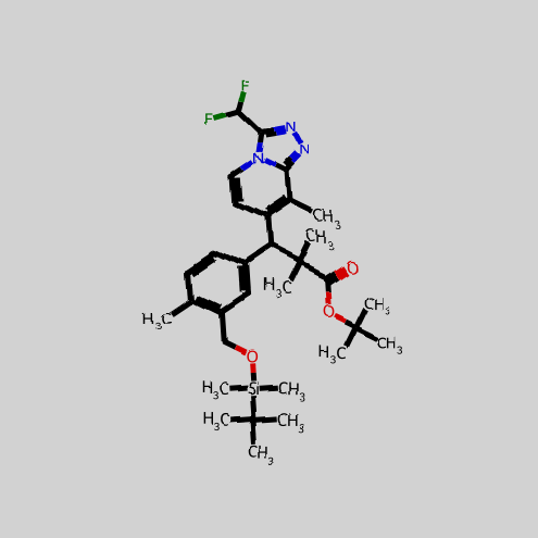 Cc1ccc(C(c2ccn3c(C(F)F)nnc3c2C)C(C)(C)C(=O)OC(C)(C)C)cc1CO[Si](C)(C)C(C)(C)C